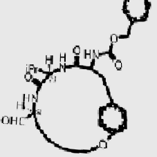 CC(C)[C@@H]1NC(=O)C(NC(=O)OCc2ccccc2)Cc2ccc(cc2)OCCCCC[C@@H](C=O)NC1=O